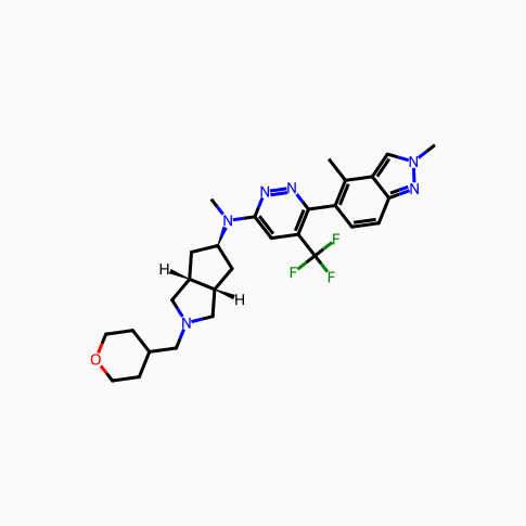 Cc1c(-c2nnc(N(C)[C@H]3C[C@@H]4CN(CC5CCOCC5)C[C@@H]4C3)cc2C(F)(F)F)ccc2nn(C)cc12